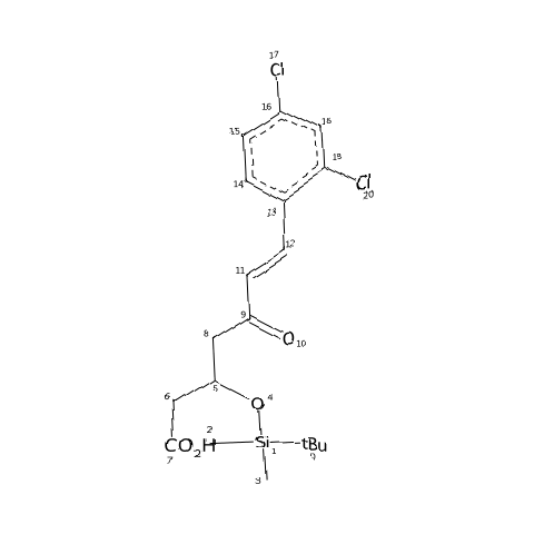 CC(C)(C)[Si](C)(C)OC(CC(=O)O)CC(=O)C=Cc1ccc(Cl)cc1Cl